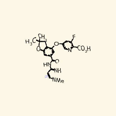 CN/C=C\C(=N)NC(=O)c1cc(Oc2cnc(C(=O)O)c(F)c2)c2c(c1)OC(C)(C)C2